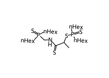 CCCCCCP(=S)(CCCCCC)CNC(=S)C(C)SP(=S)(CCCCCC)CCCCCC